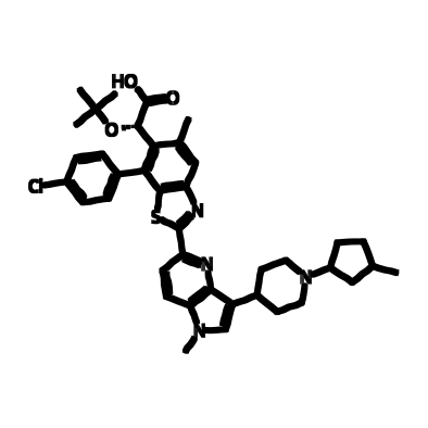 Cc1cc2nc(-c3ccc4c(n3)c(C3CCN(C5CCC(C)C5)CC3)cn4C)sc2c(-c2ccc(Cl)cc2)c1[C@H](OC(C)(C)C)C(=O)O